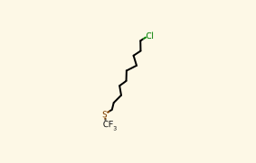 FC(F)(F)SCCCCCCCCCCCl